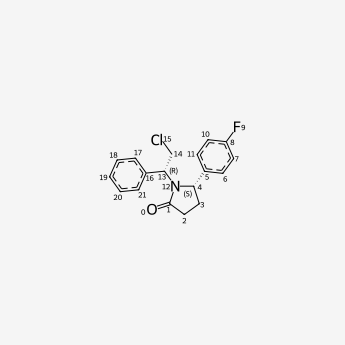 O=C1CC[C@@H](c2ccc(F)cc2)N1[C@@H](CCl)c1ccccc1